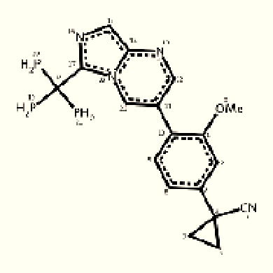 COc1cc(C2(C#N)CC2)ccc1-c1cnc2cnc(C(P)(P)P)n2c1